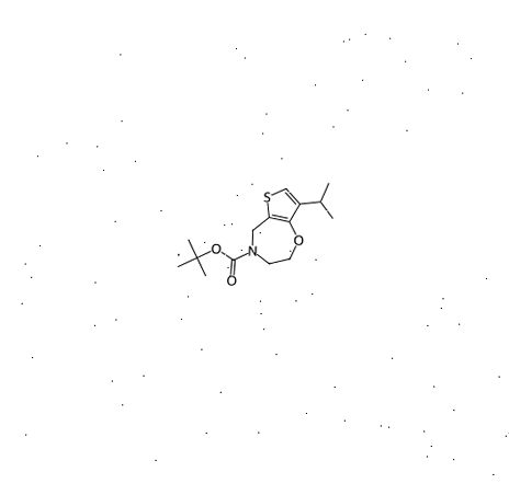 CC(C)c1csc2c1OCCN(C(=O)OC(C)(C)C)C2